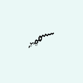 CCCCCCCCCc1ccc(-c2ccc(OCC(C)OCC)c(Cl)c2)cc1